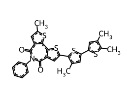 Cc1cc2c(=O)n(-c3ccccc3)c(=O)c3cc(-c4sc(-c5cc(C)c(C)s5)cc4C)sc3c2s1